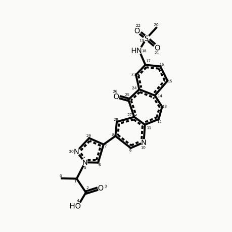 CC(C(=O)O)n1cc(-c2cnc3ccc4ccc(NS(C)(=O)=O)cc4c(=O)c3c2)cn1